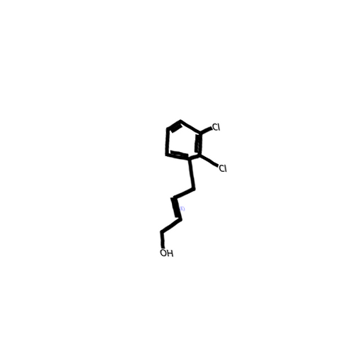 OC/C=C/Cc1cccc(Cl)c1Cl